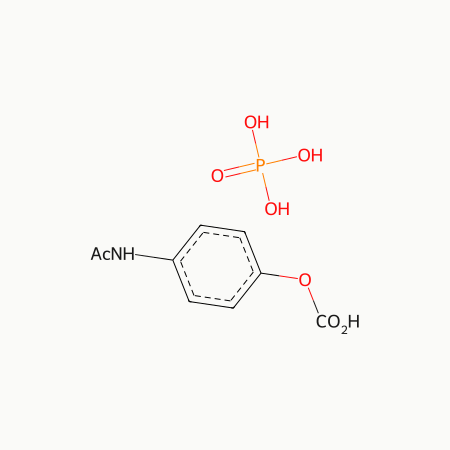 CC(=O)Nc1ccc(OC(=O)O)cc1.O=P(O)(O)O